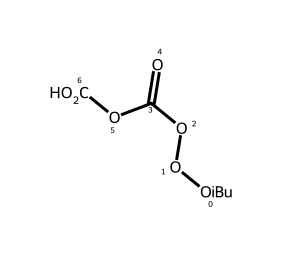 CC(C)COOOC(=O)OC(=O)O